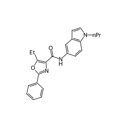 CCCn1ccc2cc(NC(=O)c3nc(-c4ccccc4)oc3CC)ccc21